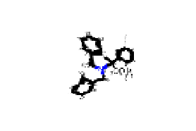 C[C@](C(=O)O)(c1ccccc1)N(Cc1ccccc1)Cc1ccccc1